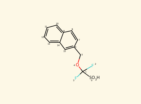 O=S(=O)(O)C(F)(F)OCc1ccc2ccccc2c1